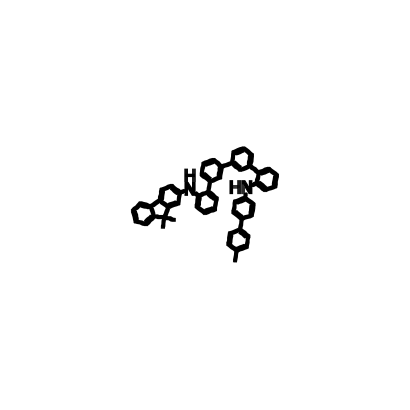 Cc1ccc(-c2ccc(Nc3ccccc3-c3cccc(-c4cccc(-c5ccccc5Nc5ccc6c(c5)C(C)(C)c5ccccc5-6)c4)c3)cc2)cc1